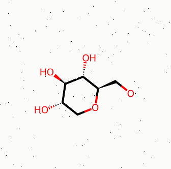 [O]C[C@H]1OC[C@H](O)[C@@H](O)[C@@H]1O